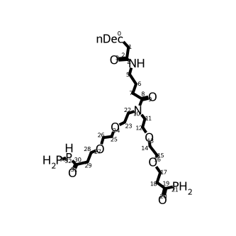 CCCCCCCCCCCC(=O)NCCCC(=O)N(CCOCCOCCC(=O)P)CCOCCOCCC(=O)PP